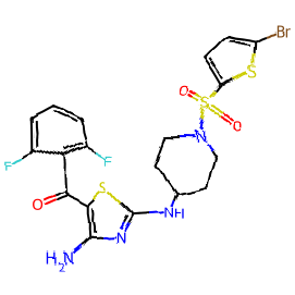 Nc1nc(NC2CCN(S(=O)(=O)c3ccc(Br)s3)CC2)sc1C(=O)c1c(F)cccc1F